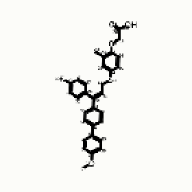 COc1ccc(-c2ccc(C(=CCSc3ccc(OCC(=O)O)c(C)c3)c3ccc(F)cc3)cc2)cc1